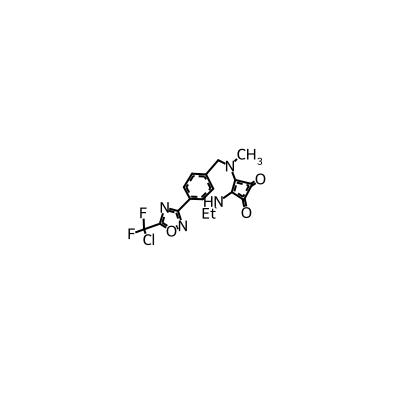 CCNc1c(N(C)Cc2ccc(-c3noc(C(F)(F)Cl)n3)cc2)c(=O)c1=O